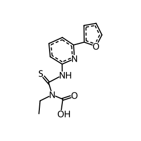 CCN(C(=O)O)C(=S)Nc1cccc(-c2ccco2)n1